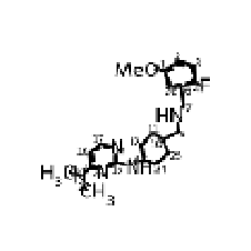 COc1ccc(F)c(CNCC2CCC(Nc3nccc(N(C)C)n3)CC2)c1